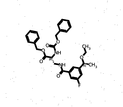 CCO[C@@H](C)c1cc(F)cc(C(=O)NC[C@@H](NC(=O)OCc2ccccc2)C(=O)OCc2ccccc2)c1